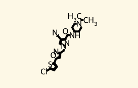 CC(C)N1CCC(NC(=O)c2nn(Cc3cc(-c4ccc(Cl)s4)on3)cc2C#N)CC1